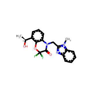 C[C@H](O)c1cccc2c1OC(F)(F)C(=O)N2Cc1nc2ccccc2n1C